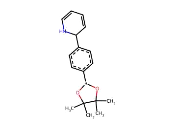 CC1(C)OB(c2ccc(C3C=CC=CN3)cc2)OC1(C)C